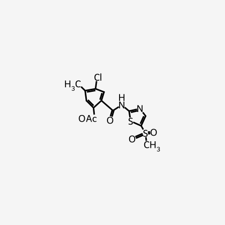 CC(=O)Oc1cc(C)c(Cl)cc1C(=O)Nc1ncc(S(C)(=O)=O)s1